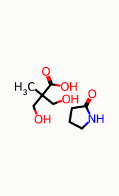 CC(CO)(CO)C(=O)O.O=C1CCCN1